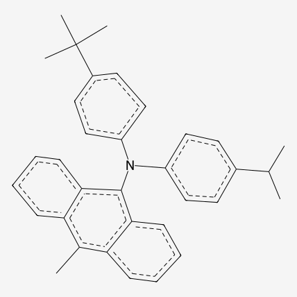 Cc1c2ccccc2c(N(c2ccc(C(C)C)cc2)c2ccc(C(C)(C)C)cc2)c2ccccc12